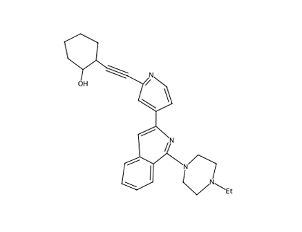 CCN1CCN(c2nc(-c3ccnc(C#CC4CCCCC4O)c3)cc3ccccc23)CC1